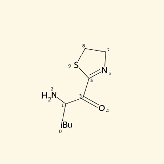 CCC(C)C(N)C(=O)C1=NCCS1